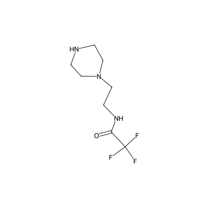 O=C(NCCN1CCNCC1)C(F)(F)F